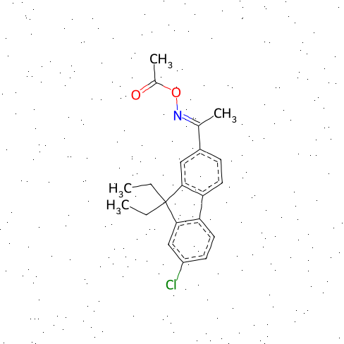 CCC1(CC)c2cc(Cl)ccc2-c2ccc(C(C)=NOC(C)=O)cc21